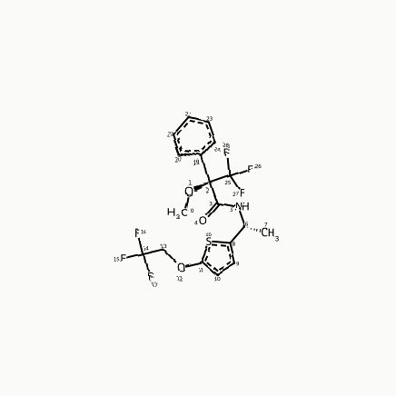 CO[C@@](C(=O)N[C@H](C)c1ccc(OCC(F)(F)F)s1)(c1ccccc1)C(F)(F)F